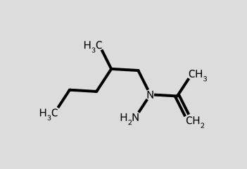 C=C(C)N(N)CC(C)CCC